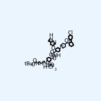 CC(C)(C)OC(=O)NCCCNc1ccc(S(=O)(=O)NC(=O)c2ccc(N3CCC([C@@H](O)c4ccccc4-c4ccc(Cl)cc4)CC3)cc2Oc2cnc3[nH]ccc3c2)cc1S(=O)(=O)C(F)(F)F